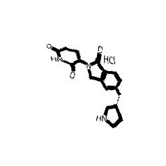 Cl.O=C1CCC(N2Cc3cc(C[C@@H]4CCNC4)ccc3C2=O)C(=O)N1